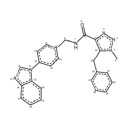 Cn1nnc(C(=O)NCc2ccc(-n3cnc4ccccc43)cc2)c1Cc1ccccc1